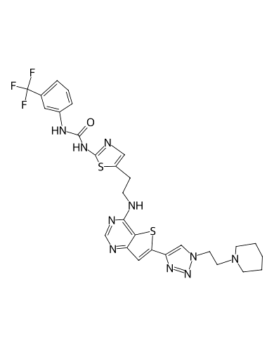 O=C(Nc1cccc(C(F)(F)F)c1)Nc1ncc(CCNc2ncnc3cc(-c4cn(CCN5CCCCC5)nn4)sc23)s1